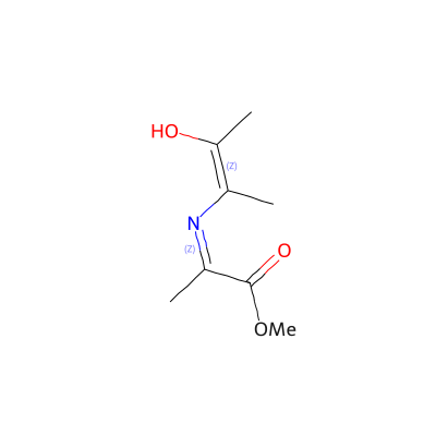 COC(=O)/C(C)=N\C(C)=C(\C)O